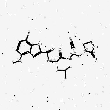 COc1ccc(F)c2[nH]c(C(=O)N[C@@H](CC(C)C)C(=O)N[C@H](C#N)C[C@@H]3CCNC3=O)cc12